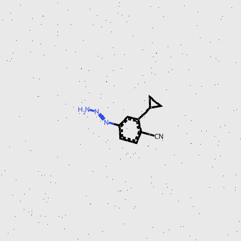 N#Cc1ccc(N=NN)cc1C1CC1